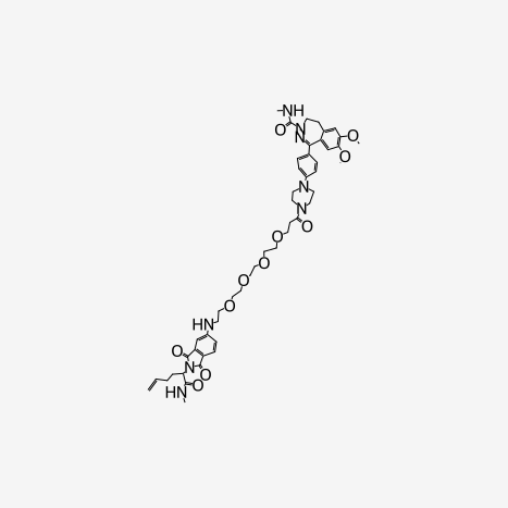 C=CCCC(C(=O)NC)N1C(=O)c2ccc(NCCOCCOCCOCCOCCC(=O)N3CCN(c4ccc(C5=NN(C(=O)NC)CCc6cc(OC)c(OC)cc65)cc4)CC3)cc2C1=O